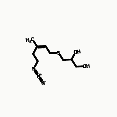 CC(=CCSCC(O)CO)CCN=[N+]=[N-]